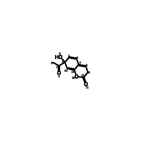 CC(=O)C1(O)C=CC2=CCC(=O)OC2=C1